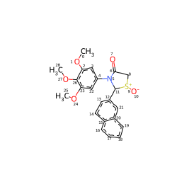 COc1cc(N2C(=O)C[S+]([O-])C2c2ccc3ccccc3c2)cc(OC)c1OC